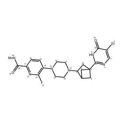 CCc1cnc(C23CC(C2)C(N2CCN(c4ccc(C(=O)NC)nc4F)CC2)C3)[nH]c1=O